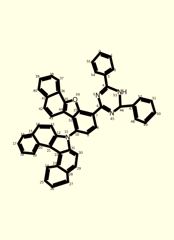 c1ccc(C2=NC(c3ccc(-n4c5ccc6ccccc6c5c5c6ccccc6ccc54)c4c3oc3c5ccccc5ccc34)=NC(c3ccccc3)N2)cc1